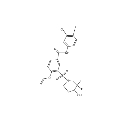 C=COc1ccc(C(=O)Nc2ccc(F)c(Cl)c2)cc1S(=O)(=O)N1CCC(O)C(F)(F)C1